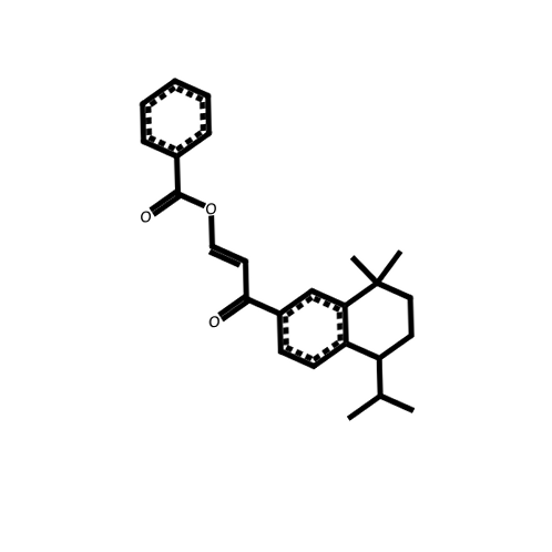 CC(C)C1CCC(C)(C)c2cc(C(=O)C=COC(=O)c3ccccc3)ccc21